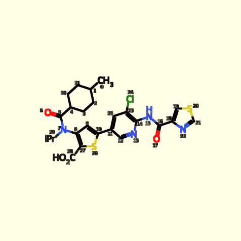 CC1CCC(C(=O)N(c2cc(-c3cnc(NC(=O)c4cscn4)c(Cl)c3)sc2C(=O)O)C(C)C)CC1